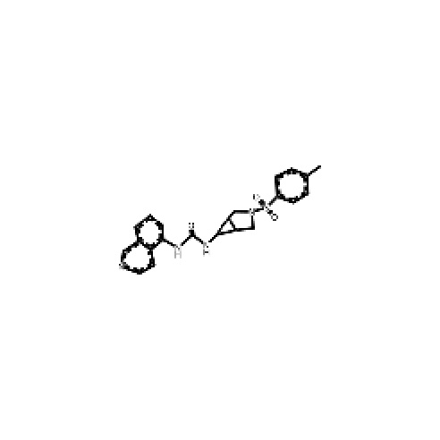 Cc1ccc(S(=O)(=O)N2CC3C(C2)C3NC(=O)Nc2cccc3cnccc23)cc1